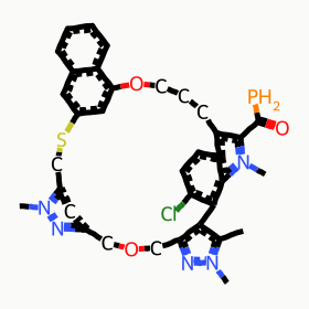 Cc1c2c(nn1C)COCc1cc(n(C)n1)CSc1cc(c3ccccc3c1)OCCCc1c(C(=O)P)n(C)c3c-2c(Cl)ccc13